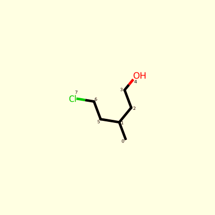 CC(CCO)CCCl